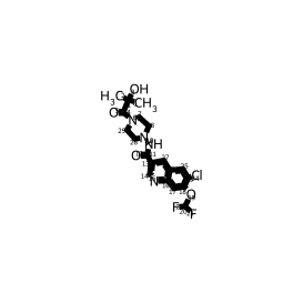 CC(C)(O)C(=O)N1CCN(NC(=O)c2cnc3cc(OC(F)F)c(Cl)cc3c2)CC1